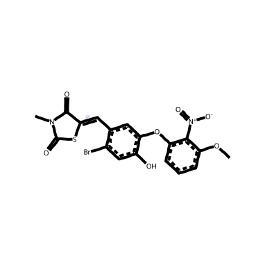 COc1cccc(Oc2cc(/C=C3\SC(=O)N(C)C3=O)c(Br)cc2O)c1[N+](=O)[O-]